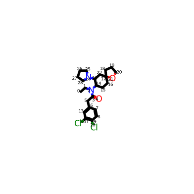 CCN(C(=O)Cc1ccc(Cl)c(Cl)c1)C1CCC2(CCCO2)CC1N1CCCC1